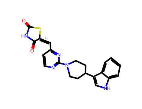 O=C1NC(=O)/C(=C\c2ccnc(N3CCC(c4c[nH]c5ccccc45)CC3)n2)S1